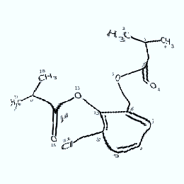 CC(C)C(=O)Oc1cccc(Cl)c1OC(=O)C(C)C